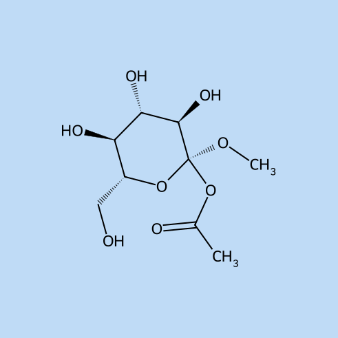 CO[C@]1(OC(C)=O)O[C@H](CO)[C@@H](O)[C@H](O)[C@H]1O